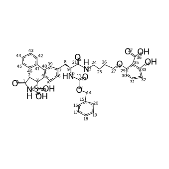 O=C1CC(c2ccc(C[C@H](NC(=O)OCc3ccccc3)C(=O)NCCCCOc3cccc(O)c3C(=O)O)cc2-c2ccccc2)S(O)(O)N1